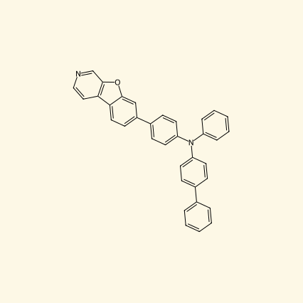 c1ccc(-c2ccc(N(c3ccccc3)c3ccc(-c4ccc5c(c4)oc4cnccc45)cc3)cc2)cc1